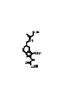 CC(=O)NCC(=O)NCC1Cc2c(sc(NC(=O)C(=O)O)c2C(=O)O)CO1